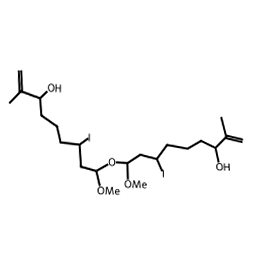 C=C(C)C(O)CCCC(I)CC(OC)OC(CC(I)CCCC(O)C(=C)C)OC